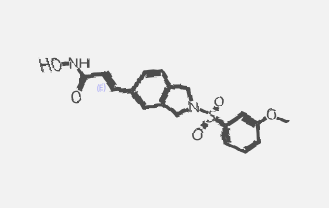 COc1cccc(S(=O)(=O)N2Cc3ccc(/C=C/C(=O)NO)cc3C2)c1